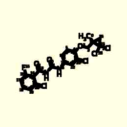 CC1(COc2ccc(NC(=O)NC(=O)c3c(F)cccc3Cl)cc2Cl)CC1(Cl)Cl